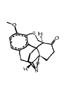 COc1ccc2c3c1O[C@H]1C(=O)CC[C@]45OCN(CCC314)[C@@H]5C2